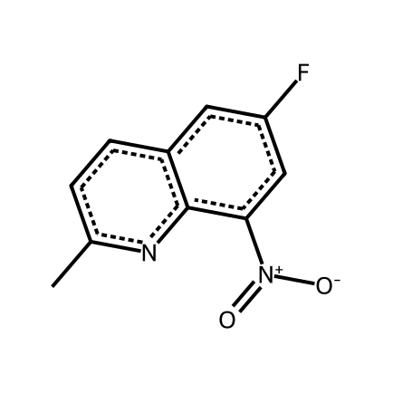 Cc1ccc2cc(F)cc([N+](=O)[O-])c2n1